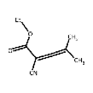 CCOC(=O)C(=C=C(C)C)C#N